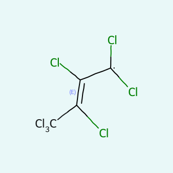 Cl[C](Cl)/C(Cl)=C(\Cl)C(Cl)(Cl)Cl